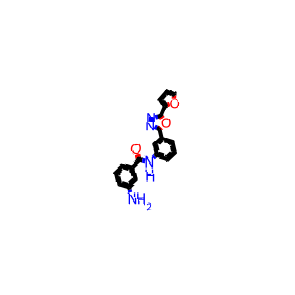 Nc1cccc(C(=O)Nc2cccc(-c3nnc(-c4ccco4)o3)c2)c1